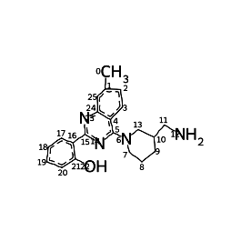 Cc1ccc2c(N3CCCC(CN)C3)nc(-c3ccccc3O)nc2c1